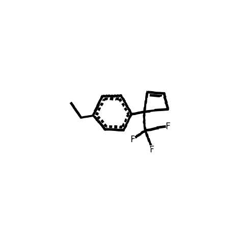 CCc1ccc(C2(C(F)(F)F)C=CC2)cc1